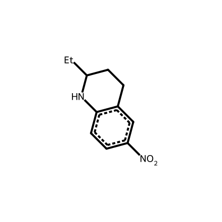 CCC1CCc2cc([N+](=O)[O-])ccc2N1